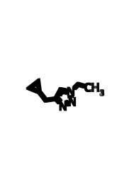 CCn1cc(CC2CC2)nn1